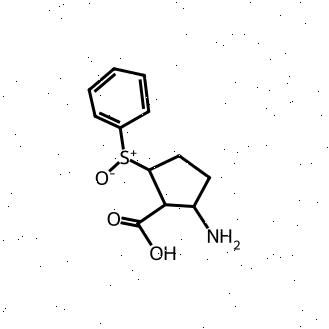 NC1CCC([S+]([O-])c2ccccc2)C1C(=O)O